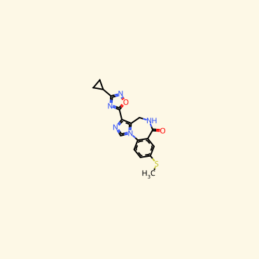 CSc1ccc2c(c1)C(=O)NCc1c(-c3nc(C4CC4)no3)ncn1-2